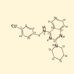 Clc1ccc(CNc2nc(N3CCCCC3)nc3ccccc23)cc1